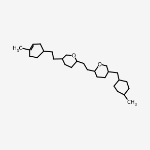 CC1=CCC(CCC2CCC(CCC3CCC(CC4CCC(C)CC4)CO3)OC2)CC1